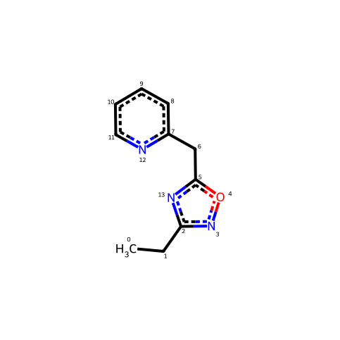 CCc1noc(Cc2ccccn2)n1